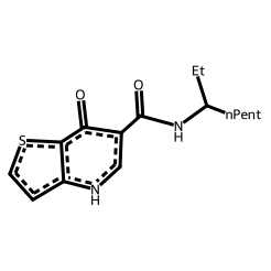 CCCCCC(CC)NC(=O)c1c[nH]c2ccsc2c1=O